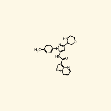 Cc1ccc(-n2nc(C3COCCN3)cc2NC(=O)c2cnn3cccnc23)cc1